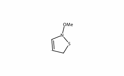 CON1C=[C]CS1